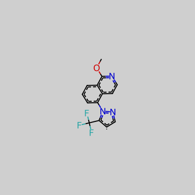 COc1nccc2c(-n3nc[c]c3C(F)(F)F)cccc12